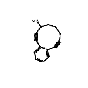 CC(=O)OC1C#Cc2ccccc2C#CCCC1